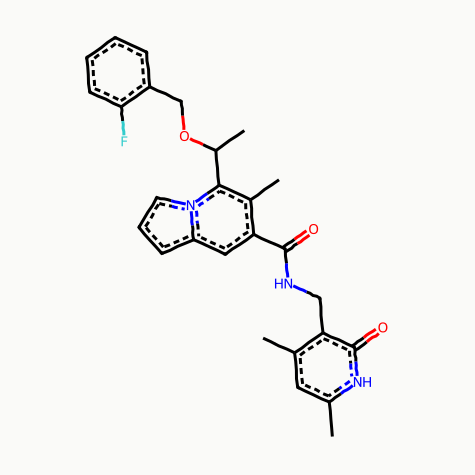 Cc1cc(C)c(CNC(=O)c2cc3cccn3c(C(C)OCc3ccccc3F)c2C)c(=O)[nH]1